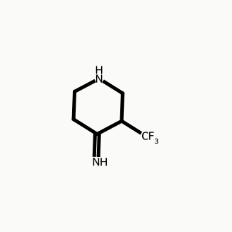 N=C1CCNCC1C(F)(F)F